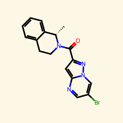 C[C@H]1c2ccccc2CCN1C(=O)c1cc2ncc(Br)cn2n1